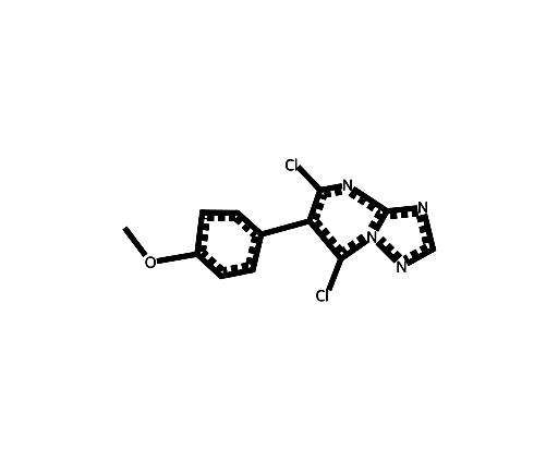 COc1ccc(-c2c(Cl)nc3ncnn3c2Cl)cc1